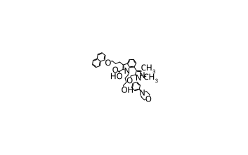 Cc1c(-c2cccc3c(CCCOc4cccc5ccccc45)c(C(=O)O)n(CCCCO)c23)c(COc2ccc(N3CCOCC3)cc2)nn1C